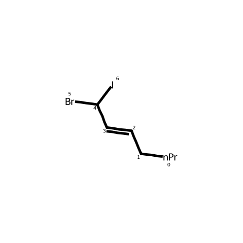 CCCCC=CC(Br)I